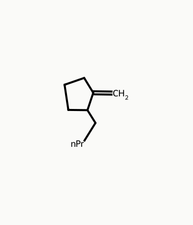 C=C1CCCC1CCCC